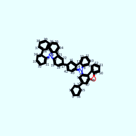 c1ccc(-c2cc(-n3c4ccccc4c4cc(-c5ccc6c(c5)c5ccccc5n6-c5ccccc5-c5ccccc5)ccc43)c3c(c2)oc2ccccc23)cc1